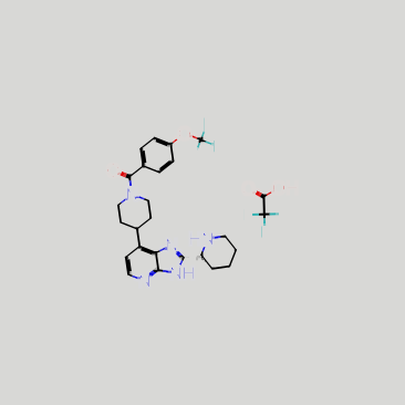 O=C(O)C(F)(F)F.O=C(c1ccc(OC(F)(F)F)cc1)N1CCC(c2ccnc3[nH]c([C@H]4CCCCN4)nc23)CC1